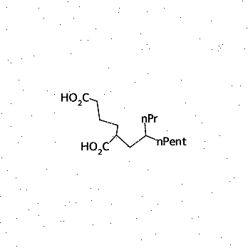 CCCCCC(CCC)CC(CCCC(=O)O)C(=O)O